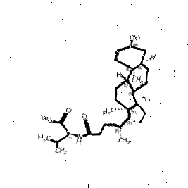 CC(C)[C@H](NC(=O)CC[C@@H](C)[C@H]1CCC2[C@@H]3CC[C@@H]4C[C@H](O)CC[C@]4(C)[C@H]3CC[C@@]21C)C(=O)O